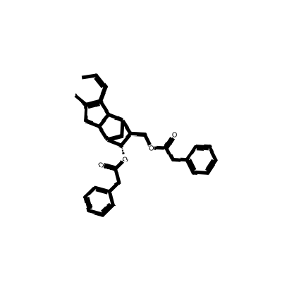 C/C=C\C1=C(C)CC2C1C1CC2[C@@H](OC(=O)Cc2ccccc2)C1COC(=O)Cc1ccccc1